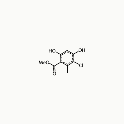 COC(=O)c1c(O)cc(O)c(Cl)c1C